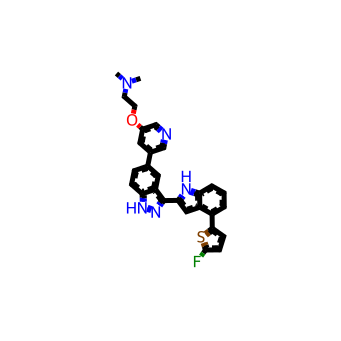 CN(C)CCOc1cncc(-c2ccc3[nH]nc(-c4cc5c(-c6ccc(F)s6)cccc5[nH]4)c3c2)c1